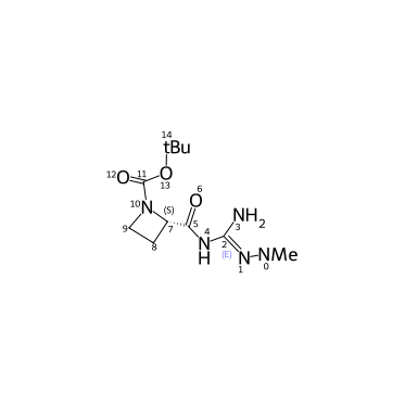 CN/N=C(\N)NC(=O)[C@@H]1CCN1C(=O)OC(C)(C)C